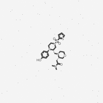 CN(C)C(=O)C[C@H]1COCCN1C[C@H]1CN(S(=O)(=O)c2cccs2)CCN1c1ccc(O)cc1